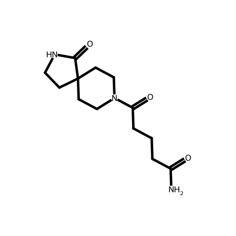 NC(=O)CCCC(=O)N1CCC2(CCNC2=O)CC1